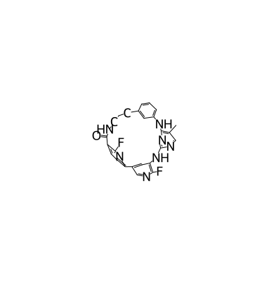 Cc1cnc2nc1Nc1cccc(c1)CCCNC(=O)c1ccc(nc1F)-c1cnc(F)c(c1)N2